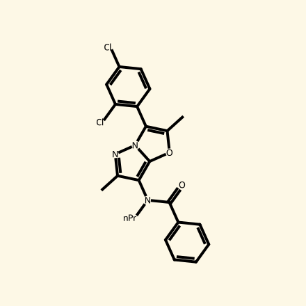 CCCN(C(=O)c1ccccc1)c1c(C)nn2c(-c3ccc(Cl)cc3Cl)c(C)oc12